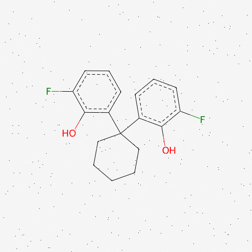 Oc1c(F)cccc1C1(c2cccc(F)c2O)CCCCC1